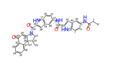 CCC(=O)Nc1ccc2[nH]c(C(=O)Nc3ccc4[nH]c(C(=O)N5CC(C)C6(C)C5=CC(=O)c5ccccc56)cc4c3)cc2c1